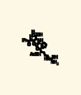 CC(=O)N[C@@H](CCCNC(=N)N)C(=O)N1CCC[C@H]1C(=O)N[C@H](C(=O)NC(=O)C(C)C)[C@@H](C)O